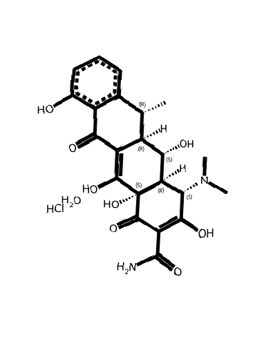 C[C@H]1c2cccc(O)c2C(=O)C2=C(O)[C@]3(O)C(=O)C(C(N)=O)=C(O)[C@@H](N(C)C)[C@@H]3[C@@H](O)[C@@H]21.Cl.O